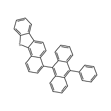 c1ccc(-c2c3ccccc3c(-c3cccc4c3ccc3c5ccccc5sc43)c3ccccc23)cc1